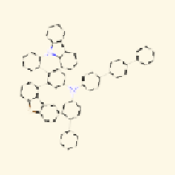 c1ccc(-c2ccc(-c3ccc(N(c4ccc(-c5ccccc5)cc4)c4ccc(-c5ccccc5-n5c6ccccc6c6ccccc65)c(-c5cccc6sc7ccccc7c56)c4)cc3)cc2)cc1